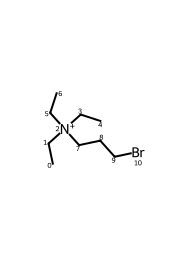 CC[N+](CC)(CC)CCCBr